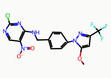 COc1cc(C(F)(F)F)nn1-c1ccc(CNc2nc(Cl)ncc2[N+](=O)[O-])cc1